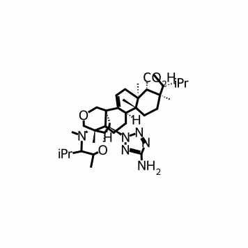 CC(C)C(C(C)O[C@H]1[C@H](n2nnc(N)n2)C[C@@]23COC[C@]1(C)[C@@H]2CC[C@H]1C3=CC[C@@]2(C)[C@H](C(=O)O)[C@@](C)([C@H](C)C(C)C)CC[C@]12C)N(C)C